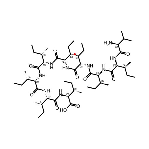 CC[C@H](C)[C@H](NC(=O)[C@@H](NC(=O)[C@@H](NC(=O)[C@@H](NC(=O)[C@@H](NC(=O)[C@@H](NC(=O)[C@@H](NC(=O)[C@@H](NC(=O)[C@@H](N)C(C)C)[C@@H](C)CC)[C@@H](C)CC)[C@@H](C)CC)[C@@H](C)CC)[C@@H](C)CC)[C@@H](C)CC)[C@@H](C)CC)C(=O)O